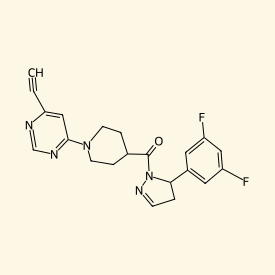 C#Cc1cc(N2CCC(C(=O)N3N=CCC3c3cc(F)cc(F)c3)CC2)ncn1